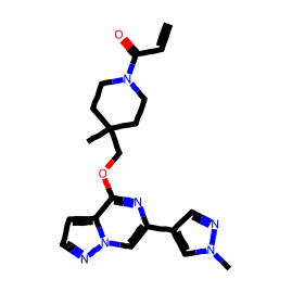 C=CC(=O)N1CCC(C)(COc2nc(-c3cnn(C)c3)cn3nccc23)CC1